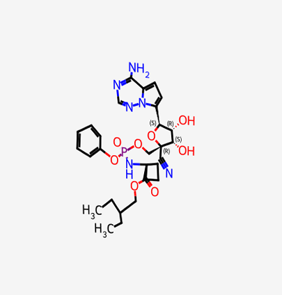 CCC(CC)COC(=O)C1(NP(=O)(OC[C@@]2(C#N)O[C@@H](c3ccc4c(N)ncnn34)[C@H](O)[C@@H]2O)Oc2ccccc2)CCC1